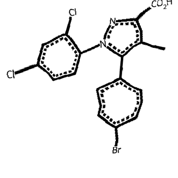 Cc1c(C(=O)O)nn(-c2ccc(Cl)cc2Cl)c1-c1ccc(Br)cc1